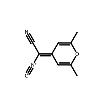 [C-]#[N+]C(C#N)=C1C=C(C)OC(C)=C1